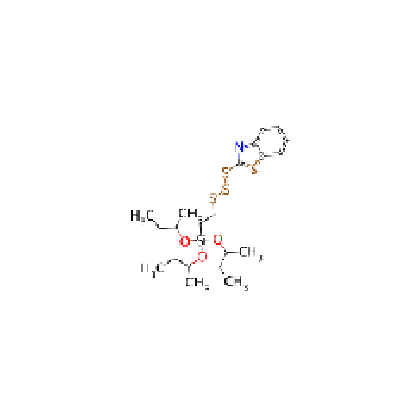 CCC(C)O[Si](CCSSSc1nc2ccccc2s1)(OC(C)CC)OC(C)CC